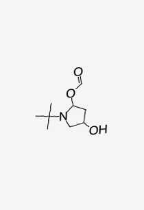 CC(C)(C)N1CC(O)CC1OC=O